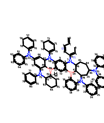 C=C/C=C\C(=C/C)N1c2cc3c(cc2B2c4ccccc4N(c4ccccc4)C4CC(N(c5ccccc5)c5ccccc5)CCC1C24)B1C2C(=CC(N(C4=CC=CCC4)c4ccccc4)=CC2N3C2=CC=CCC2)N(C2=CC=C=C=C2)C2CCCC[C@H]12